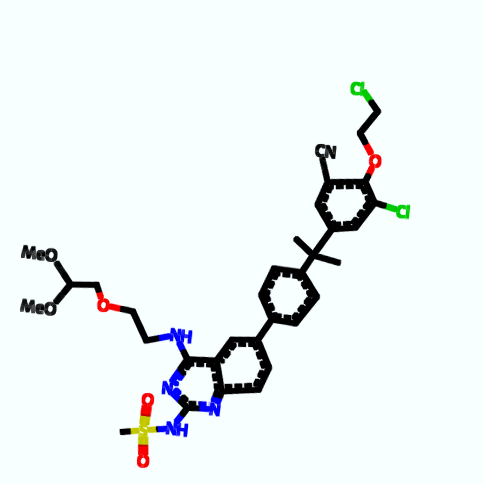 COC(COCCNc1nc(NS(C)(=O)=O)nc2ccc(-c3ccc(C(C)(C)c4cc(Cl)c(OCCCl)c(C#N)c4)cc3)cc12)OC